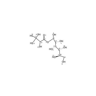 O=C(OC(O)[C@H](O)[C@@H](O)[C@H](O)[C@H](O)CO)C(S)C(S)(S)S